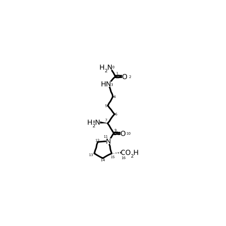 NC(=O)NCCC[C@H](N)C(=O)N1CCC[C@H]1C(=O)O